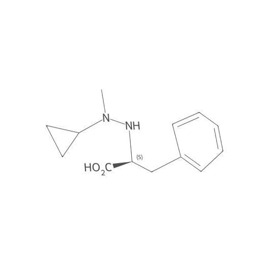 CN(N[C@@H](Cc1ccccc1)C(=O)O)C1CC1